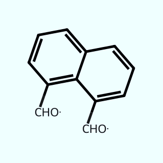 O=[C]c1cccc2cccc([C]=O)c12